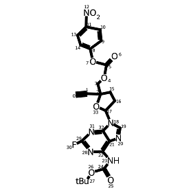 C#CC1(COC(=O)Oc2ccc([N+](=O)[O-])cc2)CCC(n2cnc3c(NC(=O)OC(C)(C)C)nc(F)nc32)O1